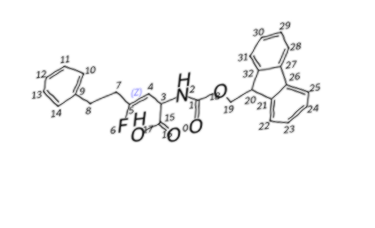 O=C(NC(/C=C(\F)CCc1ccccc1)C(=O)O)OCC1c2ccccc2-c2ccccc21